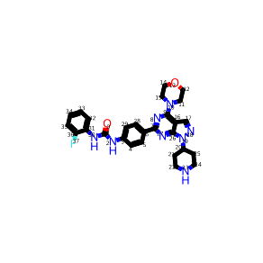 O=C(Nc1ccc(-c2nc(N3CCOCC3)c3cnn(C4CCNCC4)c3n2)cc1)Nc1ccccc1F